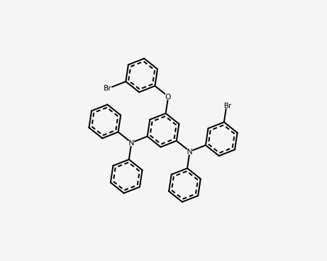 Brc1cccc(Oc2cc(N(c3ccccc3)c3ccccc3)cc(N(c3ccccc3)c3cccc(Br)c3)c2)c1